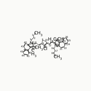 CCCCN1/C(=C/C=C2\CCC(/C=C/C3=[N+](CCCC)c4ccc5ccccc5c4C3(C)C)=C2Cl)C(C)(C)c2c1ccc1ccccc21